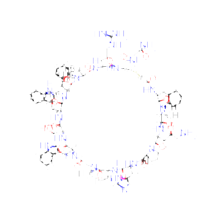 CCCC[C@H]1C(=O)N[C@@H](CCCNC(=N)N)C(=O)N[C@H](C(=O)NCC(N)=O)CSCC(=O)N[C@@H](Cc2ccccc2)C(=O)N(C)[C@@H](C)C(=O)N[C@@H](CC(=O)CN)C(=O)N2CCC[C@H]2C(=O)N[C@@H](Cc2cnc[nH]2)C(=O)N[C@@H](CC(C)C)C(=O)N(C)CC(=O)N[C@@H](Cc2c[nH]c3ccccc23)C(=O)N[C@@H](CO)C(=O)N[C@@H](Cc2c[nH]c3ccccc23)C(=O)N(C)[C@@H](Cc2ccccc2)C(=O)N1C